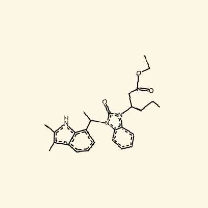 CCCC(CC(=O)OCC)n1c(=O)n(C(C)c2cccc3c(C)c(C)[nH]c23)c2ccccc21